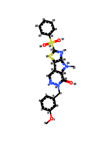 COc1cccc(Cn2ncc3c4sc(S(=O)(=O)c5ccccc5)nc4n(C)c3c2=O)c1